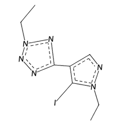 CCn1nnc(-c2cnn(CC)c2I)n1